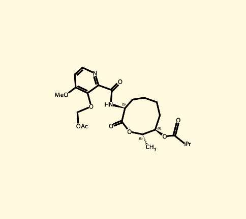 COc1ccnc(C(=O)N[C@H]2CCCC[C@@H](OC(=O)C(C)C)[C@H](C)OC2=O)c1OCOC(C)=O